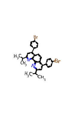 CC(C)c1cc(-c2ccc(Br)cc2)c2ccc3c(-c4ccc(Br)cc4)cc(C(C)C)nc3c2n1